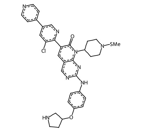 CSN1CCC(n2c(=O)c(-c3ncc(-c4ccncc4)cc3Cl)cc3cnc(Nc4ccc(OC5CCNC5)cc4)nc32)CC1